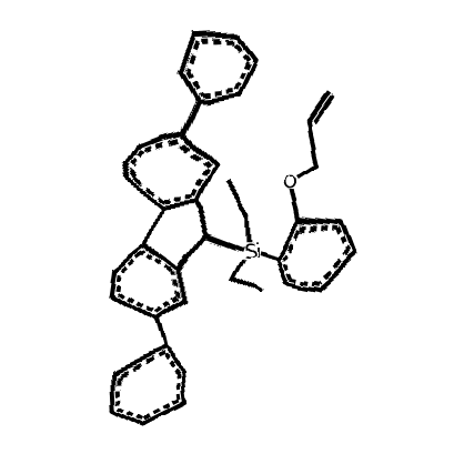 C=CCOc1ccccc1[Si](CC)(CC)C1c2cc(-c3ccccc3)ccc2-c2ccc(-c3ccccc3)cc21